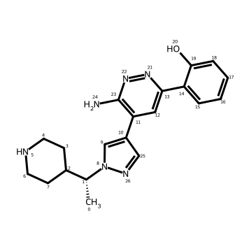 C[C@H](C1CCNCC1)n1cc(-c2cc(-c3ccccc3O)nnc2N)cn1